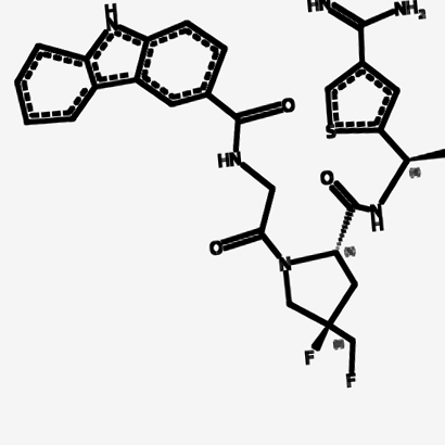 C[C@@H](NC(=O)[C@@H]1C[C@](F)(CF)CN1C(=O)CNC(=O)c1ccc2[nH]c3ccccc3c2c1)c1cc(C(=N)N)cs1